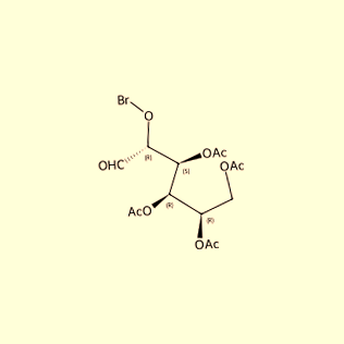 CC(=O)OC[C@@H](OC(C)=O)[C@@H](OC(C)=O)[C@H](OC(C)=O)[C@H](C=O)OBr